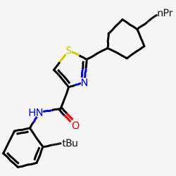 CCCC1CCC(c2nc(C(=O)Nc3ccccc3C(C)(C)C)cs2)CC1